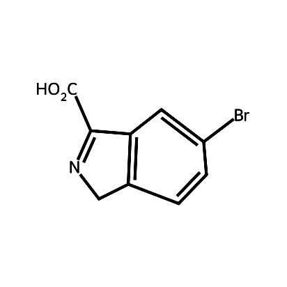 O=C(O)C1=NCc2ccc(Br)cc21